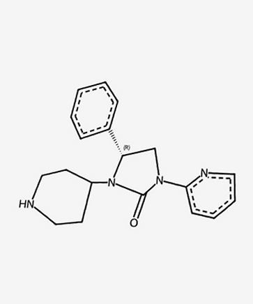 O=C1N(c2ccccn2)C[C@@H](c2ccccc2)N1C1CCNCC1